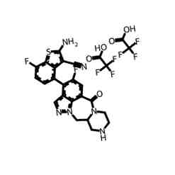 N#Cc1c(N)sc2c(F)ccc(-c3c(F)cc4c5c3cnn5CC3CNCCN3C4=O)c12.O=C(O)C(F)(F)F.O=C(O)C(F)(F)F